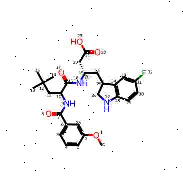 COc1cccc(C(=O)NC(CC(C)(C)C)C(=O)N[C@H](CC(=O)O)CC2CNc3ccc(F)cc32)c1